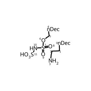 CCCCCCCCCCCCN.CCCCCCCCCCCOS(=O)(=O)NS(=O)(=O)O